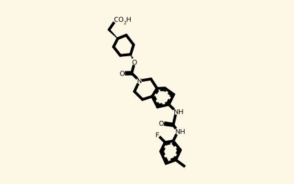 Cc1ccc(F)c(NC(=O)Nc2ccc3c(c2)CCN(C(=O)O[C@H]2CC[C@H](CC(=O)O)CC2)C3)c1